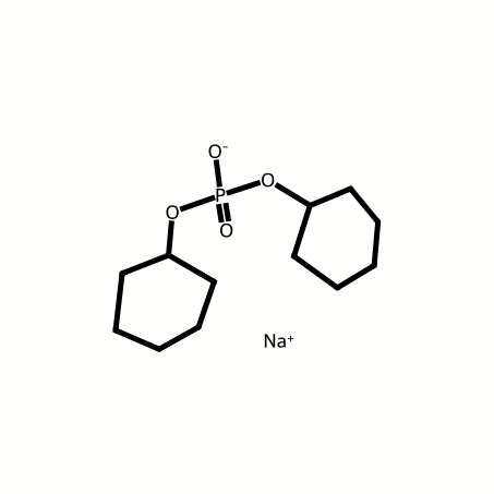 O=P([O-])(OC1CCCCC1)OC1CCCCC1.[Na+]